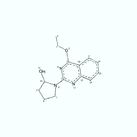 CCOc1nc(N2CCCC2O)nc2ccccc12